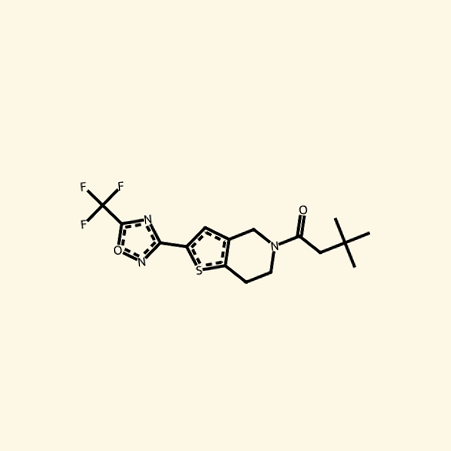 CC(C)(C)CC(=O)N1CCc2sc(-c3noc(C(F)(F)F)n3)cc2C1